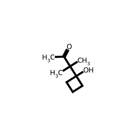 CC(=O)C(C)(C)C1(O)CCC1